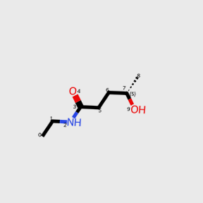 CCNC(=O)CC[C@H](C)O